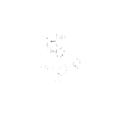 CCC(=O)NCCn1c(Sc2cc3c(cc2-c2ncco2)OCO3)nc2c(N)ncnc21